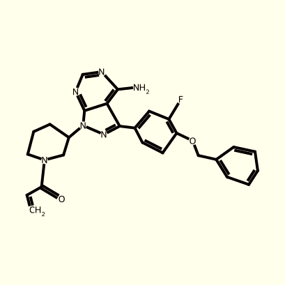 C=CC(=O)N1CCCC(n2nc(-c3ccc(OCc4ccccc4)c(F)c3)c3c(N)ncnc32)C1